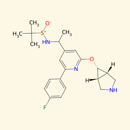 CC(N[S+]([O-])C(C)(C)C)c1cc(O[C@@H]2[C@@H]3CNC[C@@H]32)nc(-c2ccc(F)cc2)c1